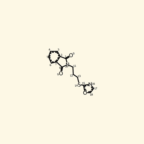 O=C1c2ccccc2C(=O)N1CCCSc1ncco1